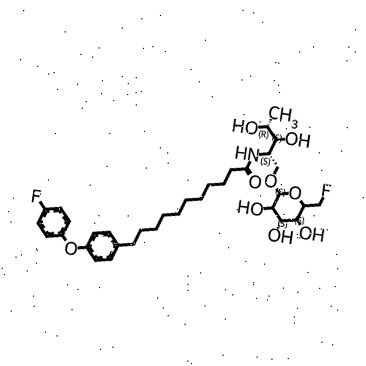 C[C@@H](O)[C@@H](O)[C@H](CO[C@H]1OC(CF)[C@@H](O)[C@H](O)C1O)NC(=O)CCCCCCCCCCc1ccc(Oc2ccc(F)cc2)cc1